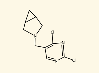 Clc1ncc(CN2CC3CC3C2)c(Cl)n1